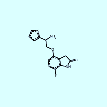 NC(COc1ccc(F)c2c1CC(=O)N2)c1cccs1